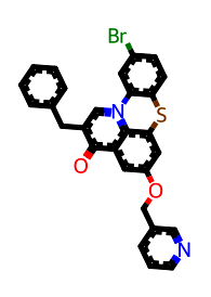 O=c1c(Cc2ccccc2)cn2c3c(cc(OCc4cccnc4)cc13)Sc1ccc(Br)cc1-2